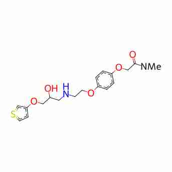 CNC(=O)COc1ccc(OCCNCC(O)COc2ccsc2)cc1